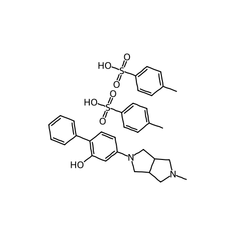 CN1CC2CN(c3ccc(-c4ccccc4)c(O)c3)CC2C1.Cc1ccc(S(=O)(=O)O)cc1.Cc1ccc(S(=O)(=O)O)cc1